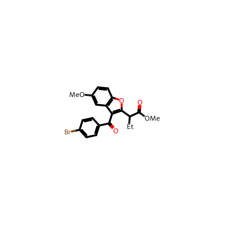 CCC(C(=O)OC)c1oc2ccc(OC)cc2c1C(=O)c1ccc(Br)cc1